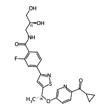 C[C@@H](Oc1ccc(C(=O)C2CC2)nc1)c1cc(-c2ccc(C(=O)NC[C@H](O)CO)c(F)c2)ns1